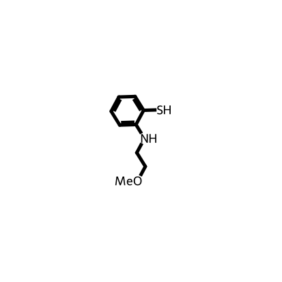 COCCNc1ccccc1S